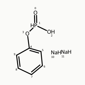 O=[PH](O)Oc1ccccc1.[NaH].[NaH]